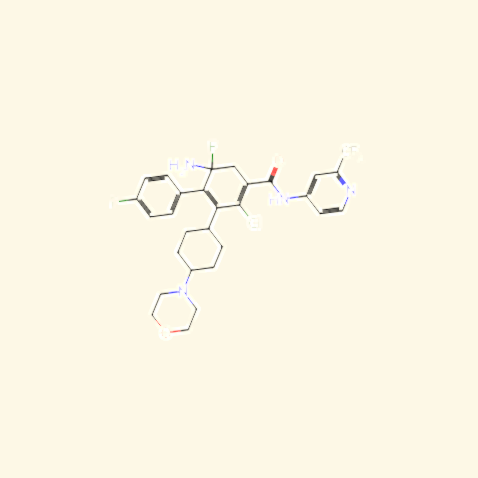 NC1(F)CC(C(=O)Nc2ccnc(C(F)(F)F)c2)=C(Cl)C(C2CCC(N3CCOCC3)CC2)=C1c1ccc(F)cc1